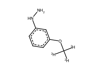 [2H]C([2H])([2H])Oc1cccc(NN)c1